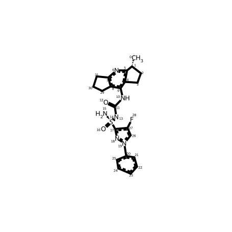 C[C@@H]1CCc2c1nc1c(c2NC(=O)N=[S@@](N)(=O)c2nn(-c3ccccc3)cc2F)CCC1